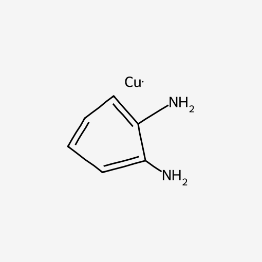 Nc1ccccc1N.[Cu]